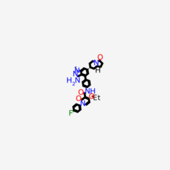 CCOc1ccn(-c2ccc(F)cc2)c(=O)c1C(=O)Nc1ccc(-c2cc([C@@H]3CCN4C(=O)CC[C@@H]4C3)cc3c2c(N)nn3C)cc1